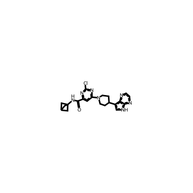 O=C(NC12CC(C1)C2)c1cc(N2CCC(c3c[nH]c4nccnc34)CC2)nc(Cl)n1